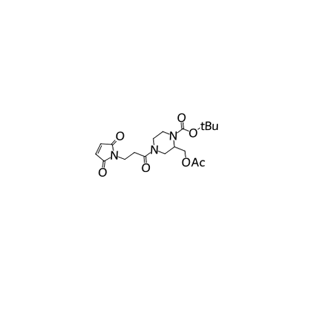 CC(=O)OCC1CN(C(=O)CCN2C(=O)C=CC2=O)CCN1C(=O)OC(C)(C)C